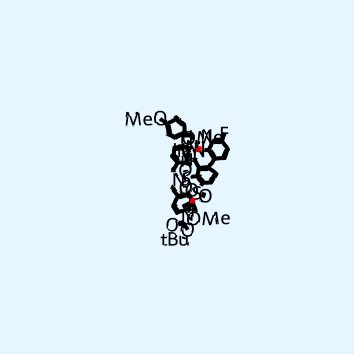 COc1ccc(CN(Cc2ccc(OC)cc2)S(=O)(=O)c2c(S(=O)(=O)C3CN(C(=O)OC(C)(C)C)C3)ccc(-c3ccc(F)c(N)c3N)c2-c2nnn(Cc3ccc(OC)cc3)n2)cc1